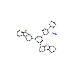 N#Cc1cc(-c2cc(-c3ccc4c(c3)sc3ccccc34)cc(-c3cccc4c3sc3ccccc34)c2)ccc1-c1ccccc1